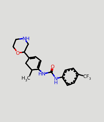 CC1CC(C2CNCCO2)=CC=C1NC(=O)Nc1ccc(C(F)(F)F)cc1